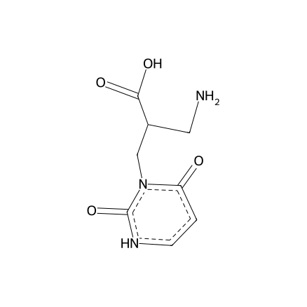 NCC(Cn1c(=O)cc[nH]c1=O)C(=O)O